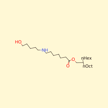 CCCCCCCCC(CCCCCC)COC(=O)CCCCCCNCCCCCO